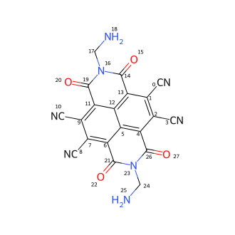 N#Cc1c(C#N)c2c3c(c(C#N)c(C#N)c4c3c1C(=O)N(CN)C4=O)C(=O)N(CN)C2=O